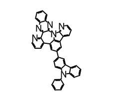 c1ccc(-n2c3ccccc3c3cc(-c4cc5c6c(c4)c4cccnc4n6-c4nc6ccccc6nc4-c4ncccc4-5)ccc32)cc1